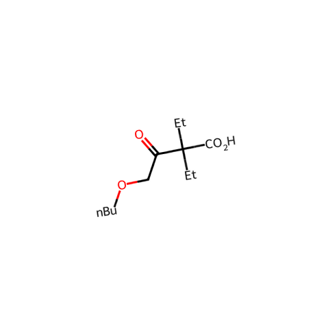 CCCCOCC(=O)C(CC)(CC)C(=O)O